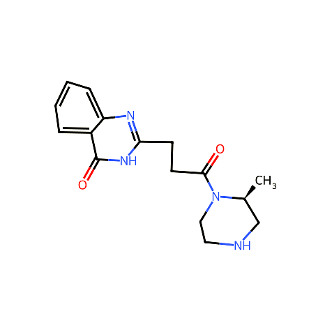 C[C@H]1CNCCN1C(=O)CCc1nc2ccccc2c(=O)[nH]1